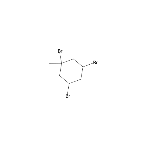 CC1(Br)CC(Br)CC(Br)C1